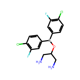 NCC(CN)OB(c1ccc(Cl)c(F)c1)c1ccc(Cl)c(F)c1